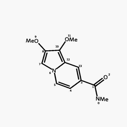 CNC(=O)c1ccn2cc(OC)c(OC)c2c1